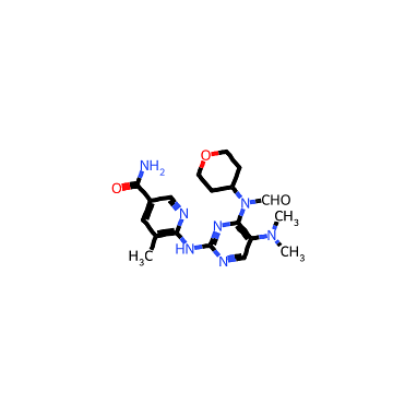 Cc1cc(C(N)=O)cnc1Nc1ncc(N(C)C)c(N(C=O)C2CCOCC2)n1